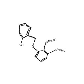 CCCCCc1cccc(OCc2ccccc2O)c1CCCCC